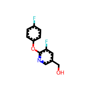 OCc1cnc(Oc2ccc(F)cc2)c(F)c1